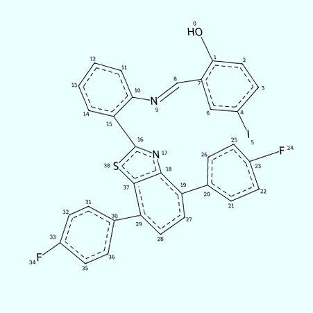 Oc1ccc(I)cc1/C=N/c1ccccc1-c1nc2c(-c3ccc(F)cc3)ccc(-c3ccc(F)cc3)c2s1